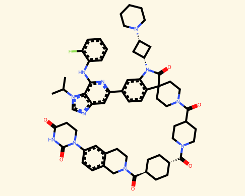 CC(C)n1cnc2cc(-c3ccc4c(c3)N([C@H]3C[C@@H](N5CCCCC5)C3)C(=O)C43CCN(C(=O)C4CCN(C(=O)[C@H]5CC[C@H](C(=O)N6CCc7cc(N8CCC(=O)NC8=O)ccc7C6)CC5)CC4)CC3)nc(Nc3ccccc3F)c21